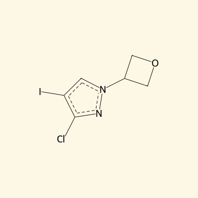 Clc1nn(C2COC2)cc1I